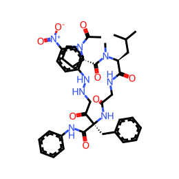 CC(=O)N1CCC[C@H]1C(=O)N(C)[C@@H](CC(C)C)C(=O)NCC(=O)N[C@](Cc1ccccc1)(C(=O)CNNc1ccc([N+](=O)[O-])cc1)C(=O)Nc1ccccc1